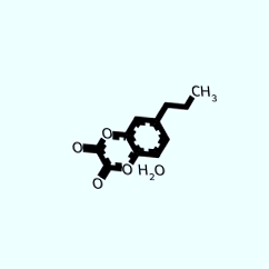 CCCc1ccc2oc(=O)c(=O)oc2c1.O